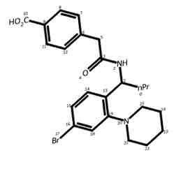 CCCC(NC(=O)Cc1ccc(C(=O)O)cc1)c1ccc(Br)cc1N1CCCCC1